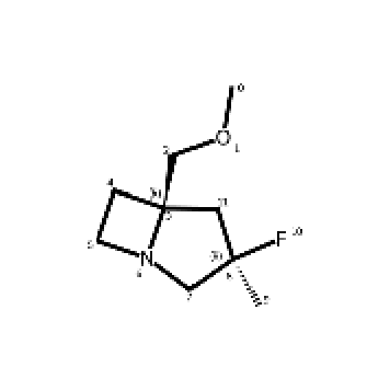 COC[C@]12CCN1C[C@](C)(F)C2